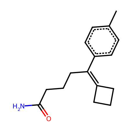 Cc1ccc(C(CCCC(N)=O)=C2CCC2)cc1